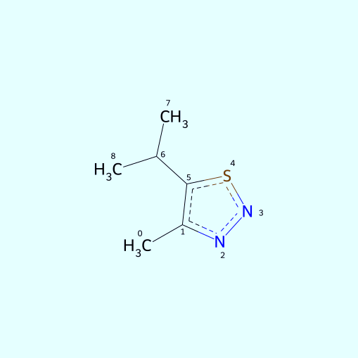 Cc1nnsc1C(C)C